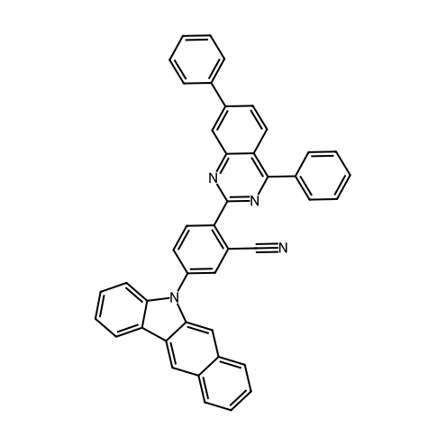 N#Cc1cc(-n2c3ccccc3c3cc4ccccc4cc32)ccc1-c1nc(-c2ccccc2)c2ccc(-c3ccccc3)cc2n1